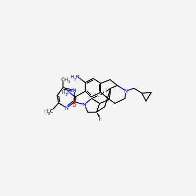 Cc1cc(C)nc(N2C[C@H]3CC45CCC2C3C42CCN(CC3CC3)C5Cc3cc(N)c(C(N)=O)cc32)n1